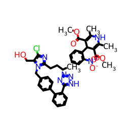 CCCCc1nc(Cl)c(CO)n1Cc1ccc(-c2ccccc2-c2nnn[nH]2)cc1.COC(=O)C1=C(C)NC(C)=C(C(=O)OC)C1c1ccccc1[N+](=O)[O-]